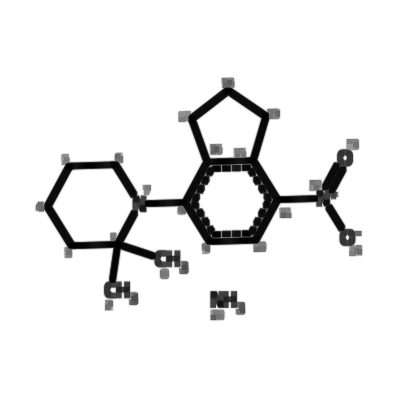 CC1(C)CCCCN1c1ccc([N+](=O)[O-])c2c1CCC2.N